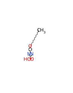 CCCCCCCCCCCCOc1ccc(-c2ncc(C(=O)O)cn2)cc1